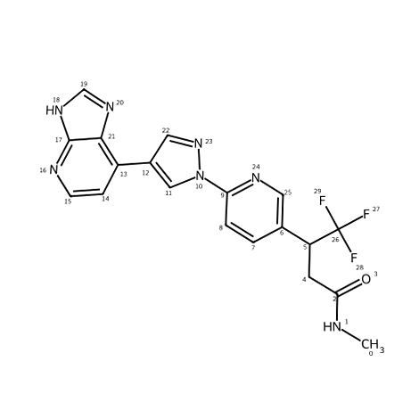 CNC(=O)CC(c1ccc(-n2cc(-c3ccnc4[nH]cnc34)cn2)nc1)C(F)(F)F